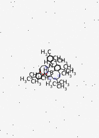 Cc1ccc(N2C3=C/CC#CC(C)/C=C\3B3C(=C\Nc4ccc(C(C)(C)C)cc4)/C=C(C(C)(C)C)\C=C/c4c(C(C)(C)C)cc(C(C)(C)C)c2c43)cc1